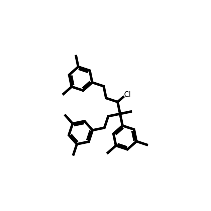 Cc1cc(C)cc(CC[C](Cl)C(C)(CCc2cc(C)cc(C)c2)c2cc(C)cc(C)c2)c1